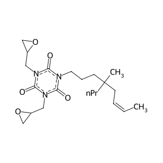 C/C=C\CC(C)(CCC)CCCn1c(=O)n(CC2CO2)c(=O)n(CC2CO2)c1=O